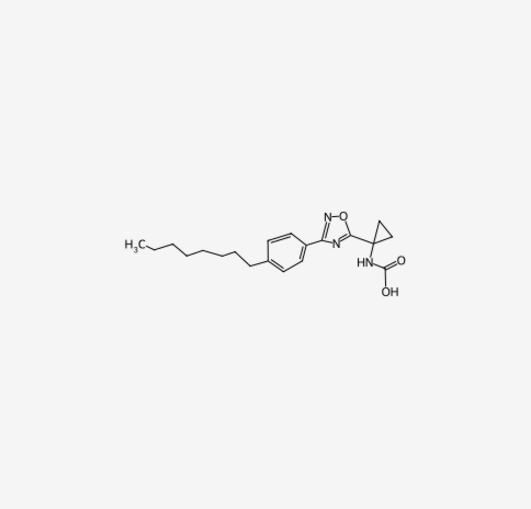 CCCCCCCCc1ccc(-c2noc(C3(NC(=O)O)CC3)n2)cc1